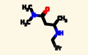 CC(C)CNC(C)CC(=O)N(C)C